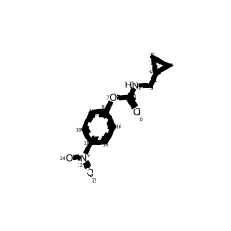 O=C(NCC1CC1)Oc1ccc([N+](=O)[O-])cc1